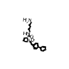 NCCCCCNC(=O)[C@H]1CCCN1C(=O)Cc1ccc(-c2ccccc2)cc1